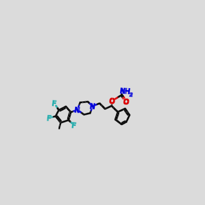 Cc1c(F)c(F)cc(N2CCN(CCC(OC(N)=O)c3ccccc3)CC2)c1F